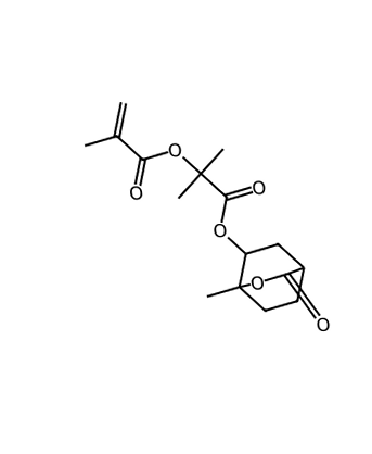 C=C(C)C(=O)OC(C)(C)C(=O)OC1CC2CCC1(C)OC2=O